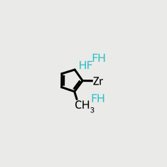 CC1=[C]([Zr])CC=C1.F.F.F